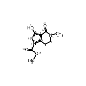 CN1CCc2c(c(O)nn2C(=O)OC(C)(C)C)C1=O